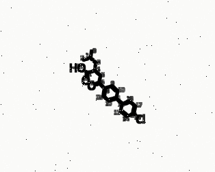 CC(C)CC(CC(=O)c1ccc(-c2ccc(Cl)cc2)cc1)C(=O)O